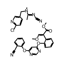 C/C(=N\C#N)N(C)Cc1ccc(Cl)nc1.CO/C=C(/C(=O)OC)c1ccccc1Oc1cc(Oc2ccccc2C#N)ncn1